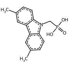 Cc1ccc2c(c1)c1cc(C)ccc1n2CP(=O)(O)O